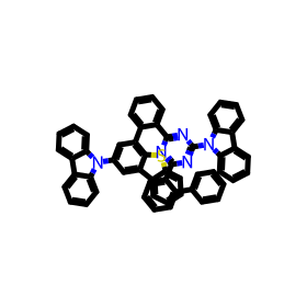 c1ccc(-c2ccccc2-c2nc(-c3ccccc3-c3cc(-n4c5ccccc5c5ccccc54)cc4c3sc3ccccc34)nc(-n3c4ccccc4c4ccccc43)n2)cc1